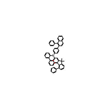 CC1(C)c2cc(N(c3ccc(-c4ccc5ccccc5c4-c4ccccc4)cc3)c3ccccc3-c3ccccc3)ccc2-c2c(-c3ccccc3)cccc21